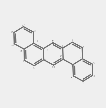 c1ccc2c(c1)ccc1cc3c(ccc4ccccc43)cc12